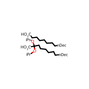 CCCCCCCCCCCCCCCCC(OC(C)C)(OC(C)C)C(=O)O.CCCCCCCCCCCCCCCCCC(=O)O